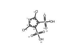 O=S(=O)(O)c1c(Cl)sc(Cl)c1S(=O)(=O)O